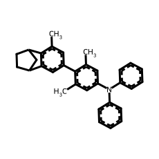 Cc1cc(N(c2ccccc2)c2ccccc2)cc(C)c1-c1cc(C)c2c(c1)C1CCC2C1